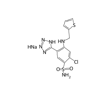 NS(=O)(=O)c1cc(-c2nnn[nH]2)c(NCc2cccs2)cc1Cl.[NaH]